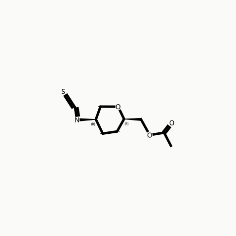 CC(=O)OC[C@H]1[CH][CH][C@@H](N=C=S)[CH]O1